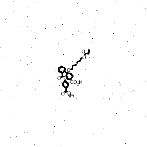 C=CC(=O)OCCCCCCOC1(c2ccccc2C(=O)Oc2ccc(C(=O)OCCC)cc2)C=CC(C(=O)O)C=C1